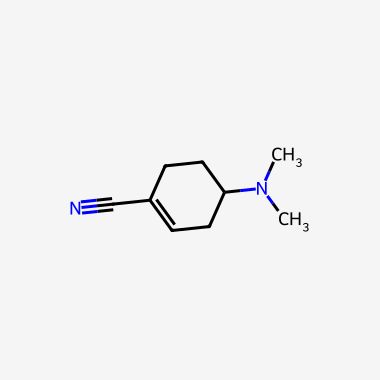 CN(C)C1CC=C(C#N)CC1